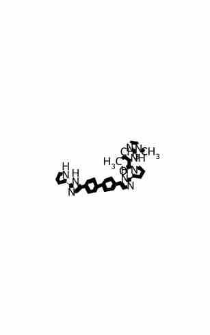 CC(C)[C@@H](NC1=NCCN1C)C(=O)N1CCC[C@H]1c1ncc(-c2ccc(-c3ccc(-c4cnc([C@@H]5CCCN5)[nH]4)cc3)cc2)[nH]1